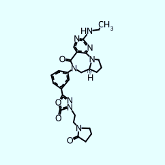 CCNc1ncc2c(n1)N1CCC[C@H]1CN(c1cccc(-c3nn(CCN4CCCC4=O)c(=O)o3)c1)C2=O